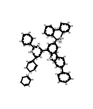 C1=CCCC([C@H]2C=CC(c3cc(-c4cc(C5Nc6ccccc6-c6ccccc65)cc5c4sc4cc(-c6ccccc6)ccc45)nc(-c4ccccc4)n3)=CC2)=C1